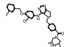 CC1CN(C(=O)c2ccc(CN3CCc4ncnc(Nc5ccc(OCc6cccc(F)c6)c(Cl)c5)c43)cc2)CC(C)N1